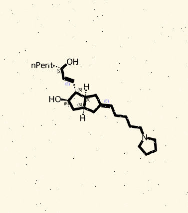 CCCCC[C@H](O)/C=C/[C@@H]1[C@H]2C/C(=C/CCCCN3CCCC3)C[C@H]2C[C@H]1O